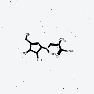 CNC(=O)/C(C)=C\N(C=O)C1C=C(CO)C(O)C1O